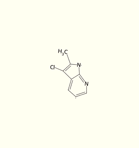 CC1=C(Cl)c2c[c]cnc2[N]1